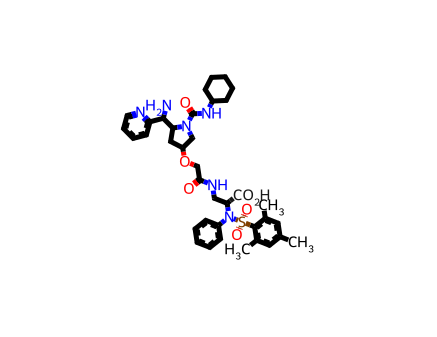 Cc1cc(C)c(S(=O)(=O)N(c2ccccc2)C(CNC(=O)COC2CC(C(N)c3ccccn3)N(C(=O)NC3CCCCC3)C2)C(=O)O)c(C)c1